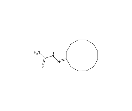 NC(=S)NN=C1CCCCCCCCCCC1